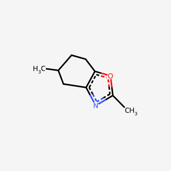 Cc1nc2c(o1)CCC(C)C2